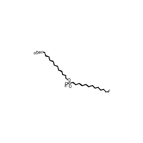 CCCCCCCCCCCCCCCCCCCCCCOS(=O)(=O)CCCCCCCCCCCCF.[K]